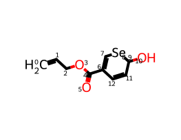 C=CCOC(=O)C1=C[Se]C(O)C=C1